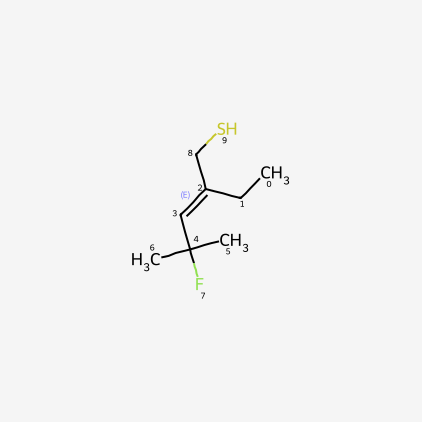 CC/C(=C\C(C)(C)F)CS